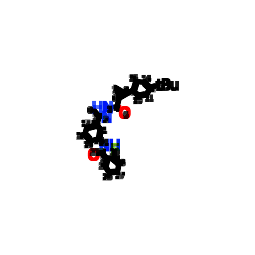 C/C(=N\NC(=O)C1CC1c1ccc(C(C)(C)C)cc1)c1cccc(NC(=O)c2ccccc2F)c1